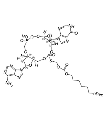 CCCCCCCCCCCCCCCCOC(=O)OCSP1(=O)OC[C@H]2O[C@@H](n3cnc4c(N)ncnc43)[C@H](F)[C@@H]2OCP(=O)(O)OC[C@H]2O[C@@H](n3cnc4c(=O)[nH]cnc43)[C@H](O1)[C@@H]2F